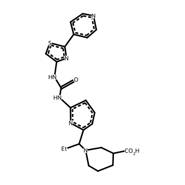 CCC(c1cccc(NC(=O)Nc2csc(-c3ccncc3)n2)n1)N1CCCC(C(=O)O)C1